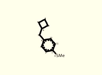 CSc1ccc(CC2CCC2)cc1